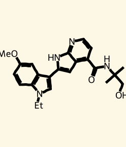 CCn1cc(-c2cc3c(C(=O)NC(C)(C)CO)ccnc3[nH]2)c2cc(OC)ccc21